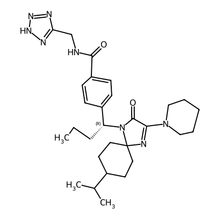 CCC[C@H](c1ccc(C(=O)NCc2nn[nH]n2)cc1)N1C(=O)C(N2CCCCC2)=NC12CCC(C(C)C)CC2